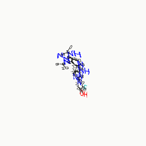 CC(C#N)Nc1nn(C(C)C)c2cc(Nc3ccnc(N4CCC(O)C(F)C4)n3)ncc12